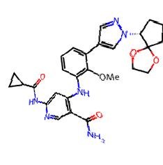 COc1c(Nc2cc(NC(=O)C3CC3)ncc2C(N)=O)cccc1-c1cnn([C@@H]2CCCC23OCCO3)c1